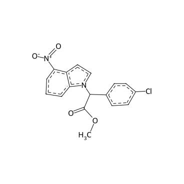 COC(=O)C(c1ccc(Cl)cc1)n1ccc2c([N+](=O)[O-])cccc21